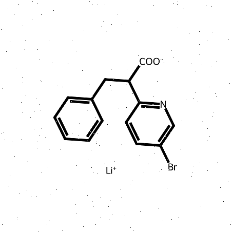 O=C([O-])C(Cc1ccccc1)c1ccc(Br)cn1.[Li+]